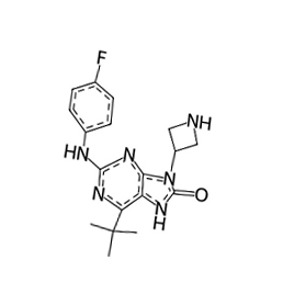 CC(C)(C)c1nc(Nc2ccc(F)cc2)nc2c1[nH]c(=O)n2C1CNC1